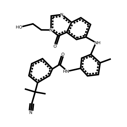 Cc1ccc(NC(=O)c2cccc(C(C)(C)C#N)c2)cc1Nc1ccc2ncn(CCO)c(=O)c2c1